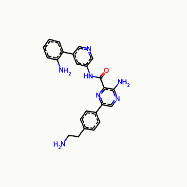 NCCc1ccc(-c2cnc(N)c(C(=O)Nc3cncc(-c4ccccc4N)c3)n2)cc1